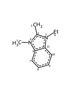 CCn1c(C)[n+](C)c2ccccc21